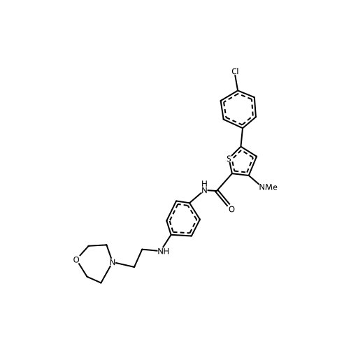 CNc1cc(-c2ccc(Cl)cc2)sc1C(=O)Nc1ccc(NCCN2CCOCC2)cc1